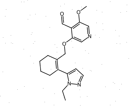 CCn1nccc1C1=C(COc2cncc(OC)c2C=O)CCCC1